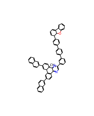 CC12C=CC(c3ccc4ccccc4c3)=CC1c1cc(-c3ccc4ccccc4c3)ccc1-c1ncc(-c3cccc(-c4ccc(-c5ccc(C6C=CC=C7c8ccccc8OC76)cc5)cc4)c3)nc12